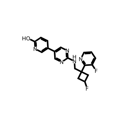 Oc1ccc(-c2cnc(NCC3(c4ncccc4F)CC(F)C3)nc2)cn1